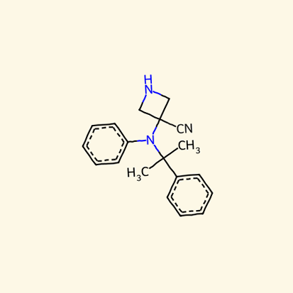 CC(C)(c1ccccc1)N(c1ccccc1)C1(C#N)CNC1